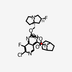 CC(C)(C)OC(=O)N1C2CCC1CN(c1nc(OC[C@]34CCCN3C[C@@H](F)C4)nc3c(F)c(Cl)ncc13)C2